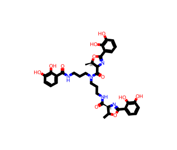 CC1OC(c2cccc(O)c2O)=N[C@@H]1C(=O)NCCCN(CCCNC(=O)c1cccc(O)c1O)C(=O)C1N=C(c2cccc(O)c2O)O[C@@H]1C